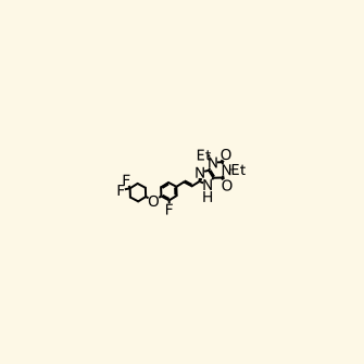 CCn1c(=O)c2[nH]c(C=Cc3ccc(OC4CCC(F)(F)CC4)c(F)c3)nc2n(CC)c1=O